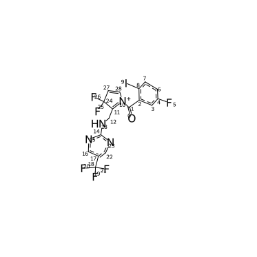 O=C(c1cc(F)ccc1I)[N+]1=C(CNc2ncc(C(F)(F)F)cn2)C(F)(F)C=C1